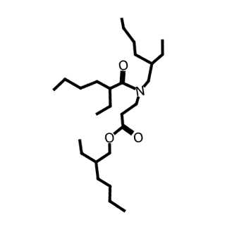 CCCCC(CC)COC(=O)CCN(CC(CC)CCCC)C(=O)C(CC)CCCC